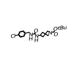 CC(C)(C)OC(=O)N1CC2(CC(NC(=O)NCc3ccc(Cl)cc3)C2)C1